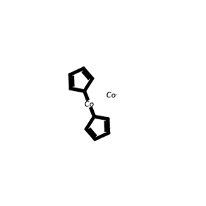 C1=C[CH]([Co][CH]2C=CC=C2)C=C1.[Co]